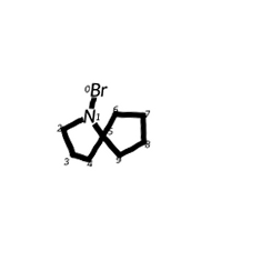 BrN1CCCC12CCCC2